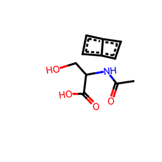 CC(=O)NC(CO)C(=O)O.c1cc2ccc1-2